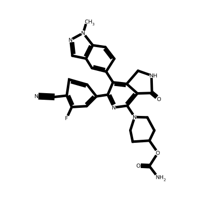 Cn1ncc2cc(-c3c(-c4ccc(C#N)c(F)c4)nc(N4CCC(OC(N)=O)CC4)c4c3CNC4=O)ccc21